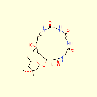 CO[C@@]1(C)CC(C)O[C@@H](O[C@@H]2CC[C@](C)(O)CCCN(C)C(=O)CNC(=O)CNC(=O)CNC(=O)[C@@H]2C)C1